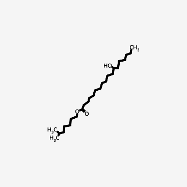 CCCCCCC(O)CCCCCCCCCCC(=O)OCCCCCC(C)C